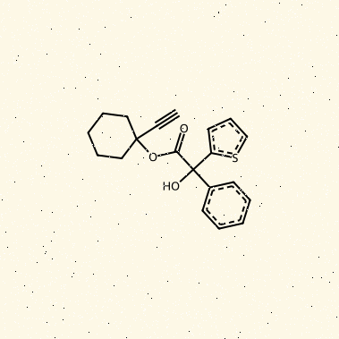 C#CC1(OC(=O)C(O)(c2ccccc2)c2cccs2)CCCCC1